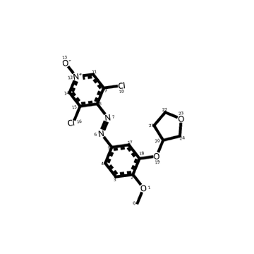 COc1ccc(/N=N/c2c(Cl)c[n+]([O-])cc2Cl)cc1OC1CCOC1